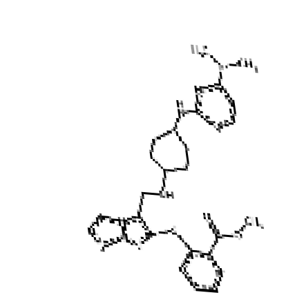 COC(=O)c1ccccc1Sc1nc2sccn2c1CNC1CCC(Nc2nccc(N(C)C)n2)CC1